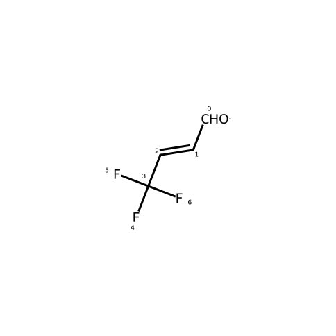 O=[C]C=CC(F)(F)F